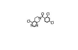 O=C(c1ccc(Cl)cc1Cl)N1CCc2c(Cl)ncnc2C1